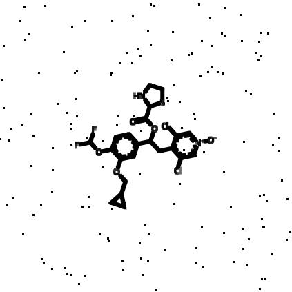 O=C(OC(Cc1c(Cl)c[n+]([O-])cc1Cl)c1ccc(OC(F)F)c(OCC2CC2)c1)C1NCCS1